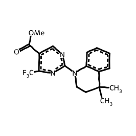 COC(=O)c1cnc(N2CCC(C)(C)c3ccccc32)nc1C(F)(F)F